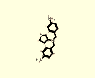 Nc1ccc(CN(Cc2ccc(N)cc2)C2CCOC2)cc1